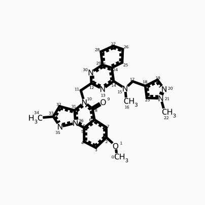 COc1ccc2c(c1)c(=O)n(Cc1nc(N(C)Cc3cnn(C)c3)c3ccccc3n1)c1cc(C)nn21